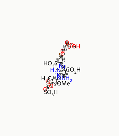 COc1cc(S(=O)(=O)CCOS(=O)(=O)O)c(C)cc1N=Nc1c(N)cc(C(=O)O)c(N=Nc2ccc(SOOCCS(=O)OOO)cc2S(=O)(=O)O)c1N